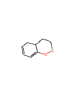 C1=CCC2CCSOC2=C1